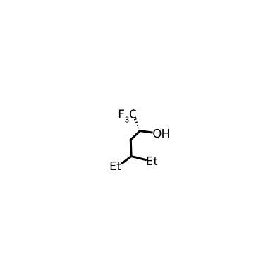 CCC(CC)C[C@@H](O)C(F)(F)F